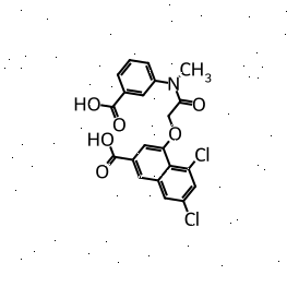 CN(C(=O)COc1cc(C(=O)O)cc2cc(Cl)cc(Cl)c12)c1cccc(C(=O)O)c1